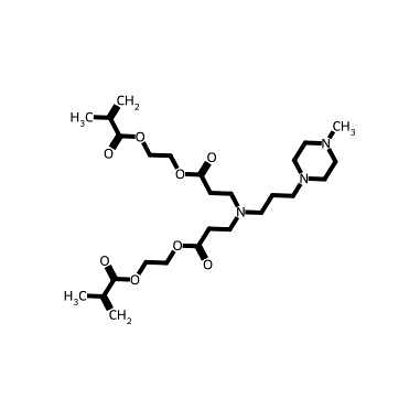 C=C(C)C(=O)OCCOC(=O)CCN(CCCN1CCN(C)CC1)CCC(=O)OCCOC(=O)C(=C)C